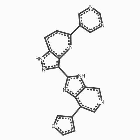 c1ncc(-c2ccc3[nH]nc(-c4nc5c(-c6ccoc6)cncc5[nH]4)c3n2)cn1